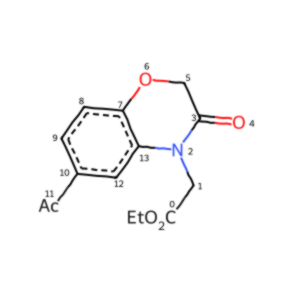 CCOC(=O)CN1C(=O)COc2ccc(C(C)=O)cc21